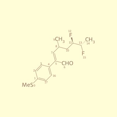 CSc1ccc(C(C=O)=CC(C)C[C@@H](F)[C@H](C)F)cc1